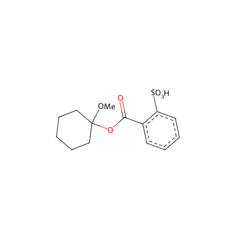 COC1(OC(=O)c2ccccc2S(=O)(=O)O)CCCCC1